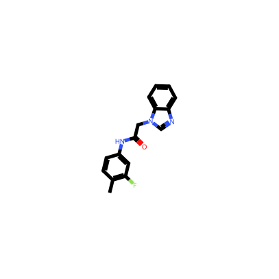 Cc1ccc(NC(=O)Cn2cnc3ccccc32)cc1F